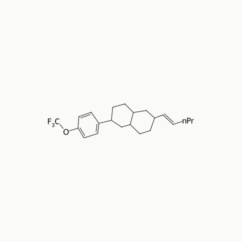 CCC/C=C/C1CCC2CC(c3ccc(OC(F)(F)F)cc3)CCC2C1